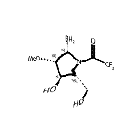 B[C@H]1[C@@H](OC)[C@H](O)[C@@H](CO)N1C(=O)C(F)(F)F